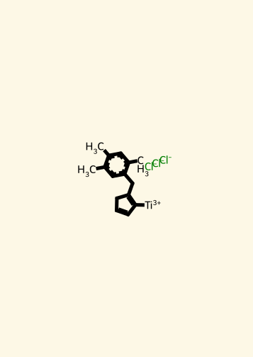 Cc1cc(C)c(CC2=[C]([Ti+3])C=CC2)cc1C.[Cl-].[Cl-].[Cl-]